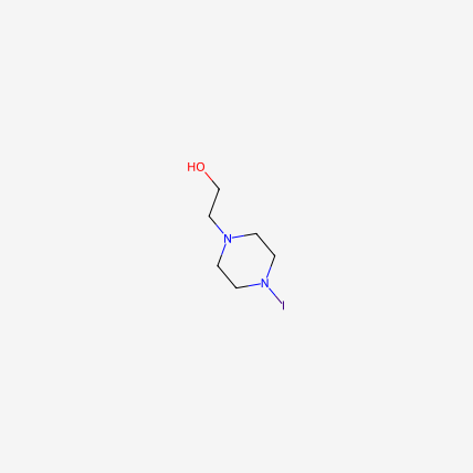 OCCN1CCN(I)CC1